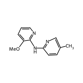 COc1cccnc1Nc1ccc(C)cn1